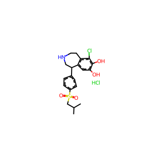 CC(C)CS(=O)(=O)c1ccc(C2CNCCc3c2cc(O)c(O)c3Cl)cc1.Cl